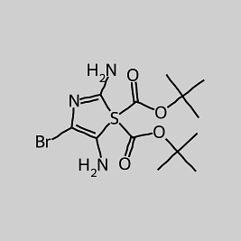 CC(C)(C)OC(=O)S1(C(=O)OC(C)(C)C)C(N)=NC(Br)=C1N